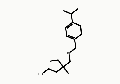 CCC(C)(CCO)CNCC1=CC=C(C(C)C)CC1